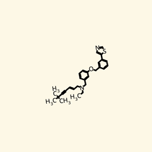 CCN(CC=CC#CC(C)(C)C)Cc1cccc(OCc2cccc(-c3cncs3)c2)c1